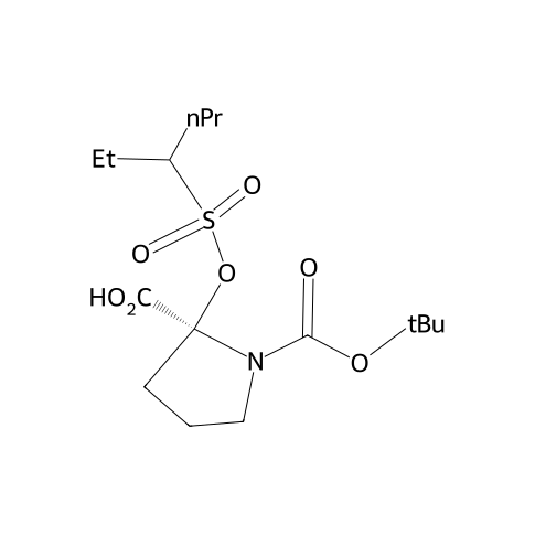 CCCC(CC)S(=O)(=O)O[C@]1(C(=O)O)CCCN1C(=O)OC(C)(C)C